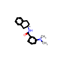 CN(C)c1cccc(C(=O)N[C@@H]2CCc3ccccc3C2)c1